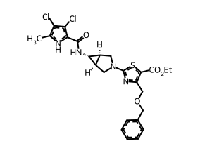 CCOC(=O)c1sc(N2C[C@@H]3[C@H](C2)[C@H]3NC(=O)c2[nH]c(C)c(Cl)c2Cl)nc1COCc1ccccc1